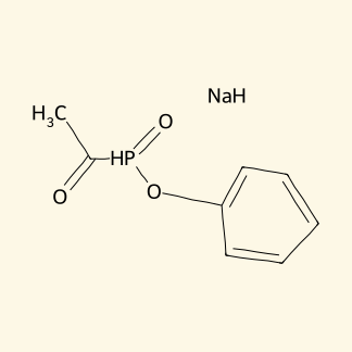 CC(=O)[PH](=O)Oc1ccccc1.[NaH]